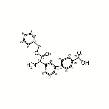 NC(C(=O)OCc1ccccc1)c1cccc(-c2ccc(C(=O)O)cc2)c1